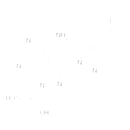 CC(C)n1nc(-n2cc(C3CC3)cn2)c2c(N)ncnc21